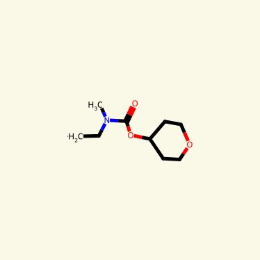 [CH2]CN(C)C(=O)OC1CCOCC1